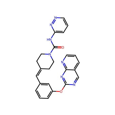 O=C(Nc1cccnn1)N1CCC(=Cc2cccc(Oc3ncc4cccnc4n3)c2)CC1